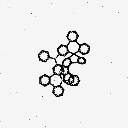 c1ccc(N(c2ccc3c(c2)-c2ccccc2-c2ccccc2N3c2ccccc2)c2ccc3c(c2)C2(c4ccccc4-c4ccccc4-3)c3ccccc3-c3c2ccc2sc4ccccc4c32)cc1